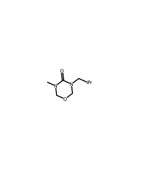 CC(C)CN1COCN(C)C1=O